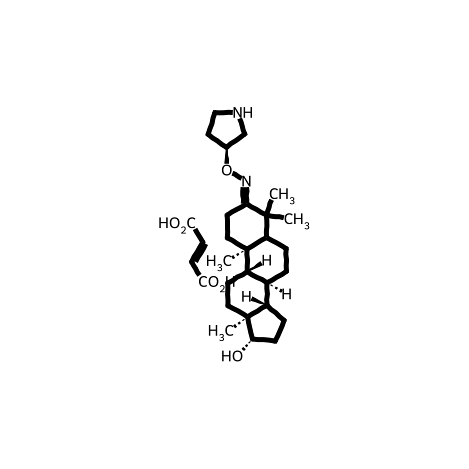 CC1(C)/C(=N/O[C@H]2CCNC2)CC[C@@]2(C)C1CC[C@H]1[C@@H]3CC[C@H](O)[C@@]3(C)CC[C@@H]12.O=C(O)/C=C/C(=O)O